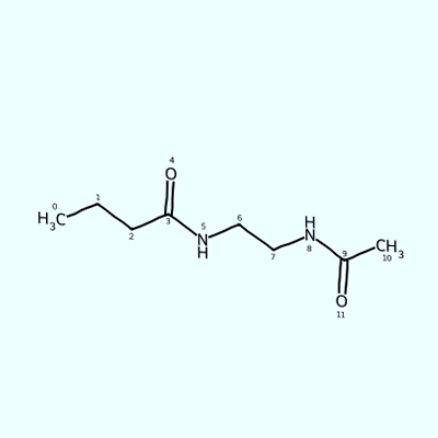 CCCC(=O)NCCNC(C)=O